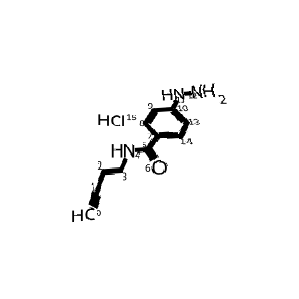 C#CCCNC(=O)c1ccc(NN)cc1.Cl